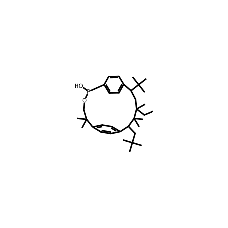 CCC1(C)CC(C(C)(C)C)c2ccc(cc2)P(O)OCC(C)(C)c2ccc(cc2)C(CC(C)(C)C)C1(C)C